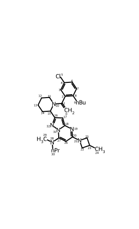 C=C(c1cc(Cl)ccc1CCCC)N1CCCCC1c1cc2nc(N3CC(C)C3)cc(N(C)CCC)n2n1